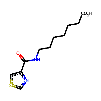 O=C(O)CCCCCCNC(=O)c1cscn1